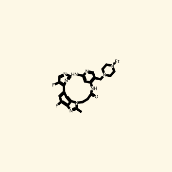 CCN1CCN(Cc2cnc3cc2NC(=O)CCn2c(C)nc4c(F)cc(cc42)-c2nc(ncc2F)N3)CC1